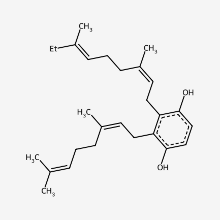 CCC(C)=CCCC(C)=CCc1c(O)ccc(O)c1CC=C(C)CCC=C(C)C